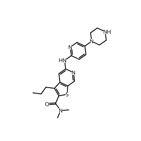 CCCc1c(C(=O)N(C)C)sc2cnc(Nc3ccc(N4CCNCC4)cn3)cc12